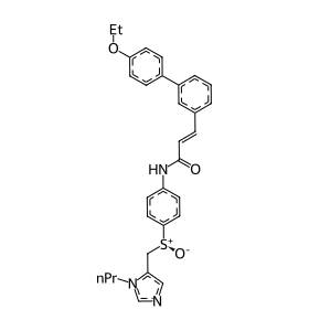 CCCn1cncc1C[S@+]([O-])c1ccc(NC(=O)/C=C/c2cccc(-c3ccc(OCC)cc3)c2)cc1